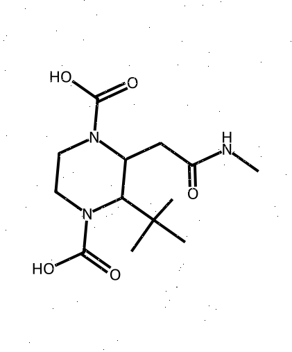 CNC(=O)CC1C(C(C)(C)C)N(C(=O)O)CCN1C(=O)O